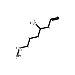 C=CCC(P)CCCNCCC